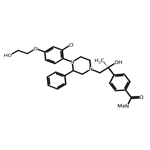 CNC(=O)c1ccc([C@](C)(O)CN2CCN(c3ccc(OCCO)cc3Cl)C(c3ccccc3)C2)cc1